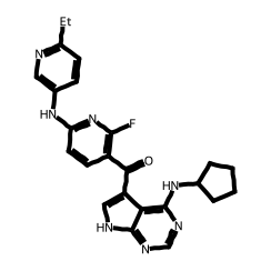 CCc1ccc(Nc2ccc(C(=O)c3c[nH]c4ncnc(NC5CCCC5)c34)c(F)n2)cn1